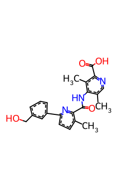 Cc1ccc(-c2cccc(CO)c2)nc1C(=O)Nc1c(C)cnc(C(=O)O)c1C